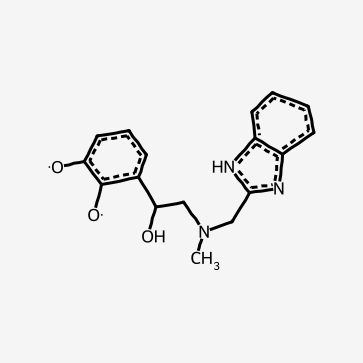 CN(Cc1nc2ccccc2[nH]1)CC(O)c1cccc([O])c1[O]